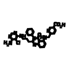 Nc1ncnc(NCCCc2nc3cccc(NCc4ccc(C(=O)O)cn4)c3c(=O)n2-c2ccccc2)c1Cl